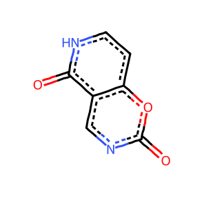 O=c1ncc2c(=O)[nH]ccc2o1